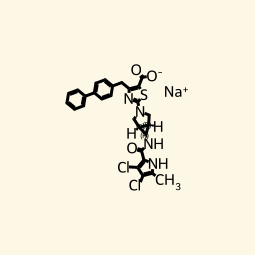 Cc1[nH]c(C(=O)N[C@@H]2[C@@H]3CN(c4nc(Cc5ccc(-c6ccccc6)cc5)c(C(=O)[O-])s4)C[C@@H]32)c(Cl)c1Cl.[Na+]